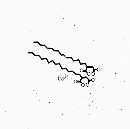 CCCCCCCCCCCCCCCCC(=CC(=O)[O-])C(=O)[O-].CCCCCCCCCCCCCCCCC(=CC(=O)[O-])C(=O)[O-].[Ca+2].[Ca+2]